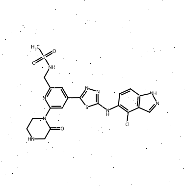 CS(=O)(=O)NCc1cc(-c2nnc(Nc3ccc4[nH]ncc4c3Cl)s2)cc(N2CCNCC2=O)n1